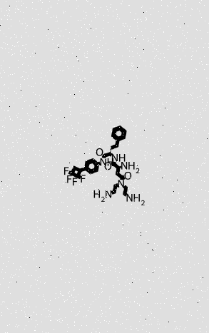 NCCN(CCN)C(=O)C[C@H](N)C(=O)N[C@@H](CCc1ccccc1)C(=O)Nc1ccc(C2CC(F)(F)C2(F)F)cc1